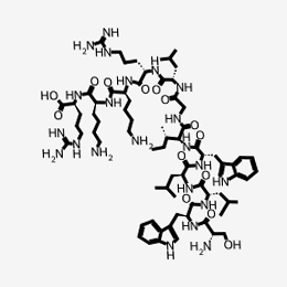 CC[C@H](C)[C@H](NC(=O)[C@H](Cc1c[nH]c2ccccc12)NC(=O)[C@H](CC(C)C)NC(=O)[C@H](CC(C)C)NC(=O)[C@H](Cc1c[nH]c2ccccc12)NC(=O)[C@@H](N)CO)C(=O)NCC(=O)N[C@@H](CC(C)C)C(=O)N[C@@H](CCCNC(=N)N)C(=O)N[C@@H](CCCCN)C(=O)N[C@@H](CCCCN)C(=O)N[C@@H](CCCNC(=N)N)C(=O)O